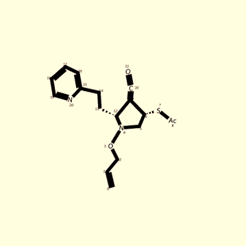 C=CCON1C[C@@H](SC(C)=O)C(=C=O)[C@H]1CCc1ccccn1